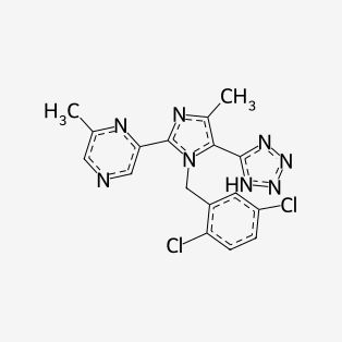 Cc1cncc(-c2nc(C)c(-c3nnn[nH]3)n2Cc2cc(Cl)ccc2Cl)n1